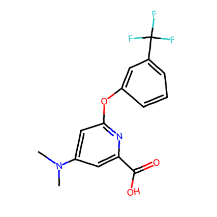 CN(C)c1cc(Oc2cccc(C(F)(F)F)c2)nc(C(=O)O)c1